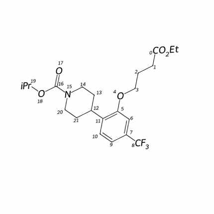 CCOC(=O)CCCOc1cc(C(F)(F)F)ccc1C1CCN(C(=O)OC(C)C)CC1